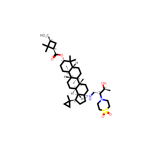 C[C@H](O)[C@@H](CN[C@]12CC[C@@H](C3(C)CC3)[C@@H]1[C@H]1CC[C@@H]3[C@@]4(C)CC[C@H](OC(=O)[C@@H]5C[C@H](C(=O)O)C5(C)C)C(C)(C)[C@@H]4CC[C@@]3(C)[C@]1(C)CC2)N1CCS(=O)(=O)CC1